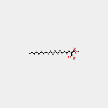 CCCCCCCCCCCCCCCCCCC(C(=O)OC)C(=O)OC